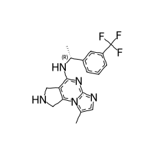 Cc1cnc2nc(N[C@H](C)c3cccc(C(F)(F)F)c3)c3c(n12)CNC3